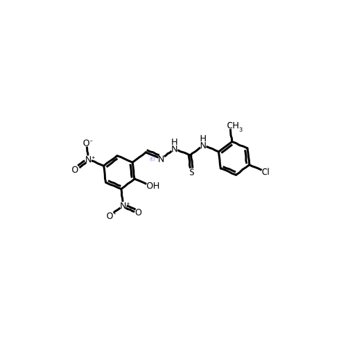 Cc1cc(Cl)ccc1NC(=S)N/N=C/c1cc([N+](=O)[O-])cc([N+](=O)[O-])c1O